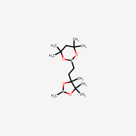 CB1OC(C)(C)C(C)(CCB2OC(C)(C)CC(C)(C)O2)O1